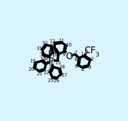 FC(F)(F)c1ccccc1COc1ccccc1C[PH](c1ccccc1)(c1ccccc1)c1ccccc1